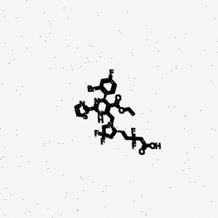 CCOC(=O)C1=C(CN2CC(F)(F)C[C@H]2CCC(F)(F)CC(=O)O)NC(c2nccs2)=N[C@H]1c1ccc(F)cc1Br